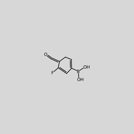 O=C=C1CC=C(B(O)O)C=C1F